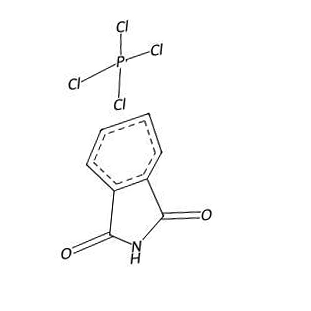 Cl[P](Cl)(Cl)Cl.O=C1NC(=O)c2ccccc21